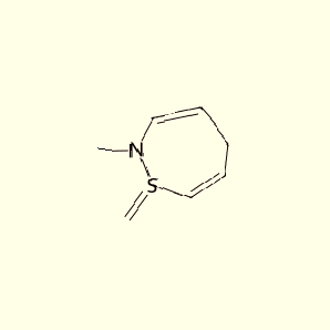 C=S1C=CCC=CN1C